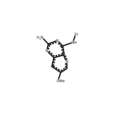 CCNc1nc(N)nc2cc(OC)cnc12